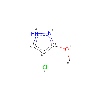 COc1n[nH]cc1Cl